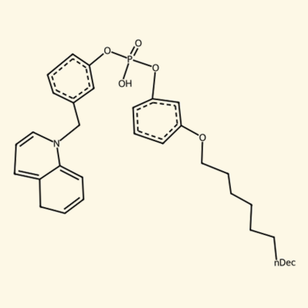 CCCCCCCCCCCCCCCCOc1cccc(OP(=O)(O)Oc2cccc(CN3C=CC=C4CC=CC=C43)c2)c1